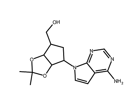 CC1(C)OC2C(CO)CC(n3ccc4c(N)ncnc43)C2O1